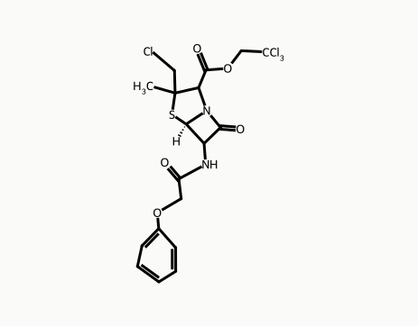 CC1(CCl)S[C@@H]2C(NC(=O)COc3ccccc3)C(=O)N2C1C(=O)OCC(Cl)(Cl)Cl